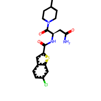 CC1CCN(C(=O)[C@@H](CC(N)=O)NC(=O)c2cc3ccc(Cl)cc3s2)CC1